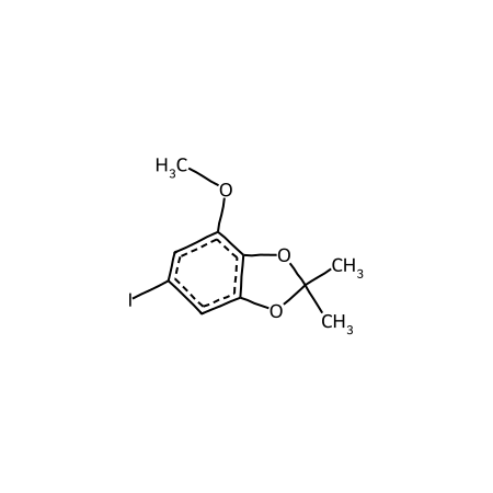 COc1cc(I)cc2c1OC(C)(C)O2